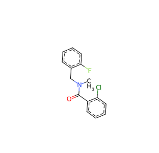 CN(Cc1ccccc1F)C(=O)c1ccccc1Cl